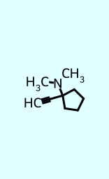 C#CC1(N(C)C)CCCC1